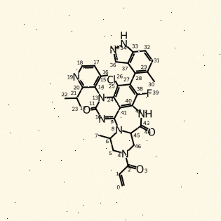 C=CC(=O)N1CC(C)N2c3nc(=O)n(-c4c(C)ccnc4C(C)C)c4c(Cl)c(-c5c(C)ccc6[nH]ncc56)c(F)c(c34)NC(=O)C2C1